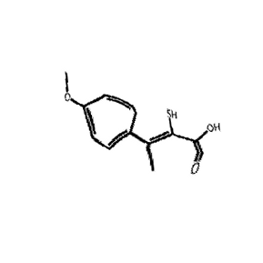 COc1ccc(C(C)=C(S)C(=O)O)cc1